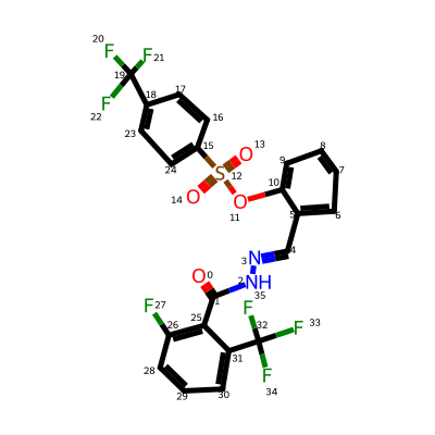 O=C(NN=Cc1ccccc1OS(=O)(=O)c1ccc(C(F)(F)F)cc1)c1c(F)cccc1C(F)(F)F